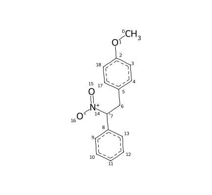 COc1ccc(C[C](c2ccccc2)[N+](=O)[O-])cc1